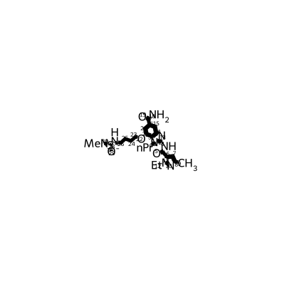 CCCn1c(NC(=O)c2cc(C)nn2CC)nc2cc(C(N)=O)cc(OCCCCN[S+]([O-])NC)c21